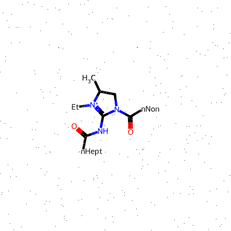 CCCCCCCCCC(=O)N1CC(C)[N+](CC)=C1NC(=O)CCCCCCC